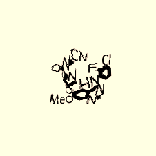 COc1cc2ncnc(Nc3cccc(Cl)c3F)c2cc1O[C@@H]1C[C@@H](C(=O)N(C)CC#N)N(C)C1